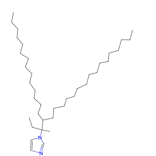 CCCCCCCCCCCCCCCCC(CCCCCCCCCCCCCC)C(C)(CC)n1ccnc1